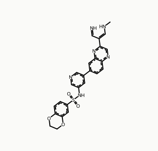 CN/C=C(\C=N)c1cnc2ccc(-c3cncc(NS(=O)(=O)c4ccc5c(c4)OCCO5)c3)cc2n1